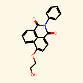 O=C1c2cccc3c(OCCO)ccc(c23)C(=O)N1c1ccccc1